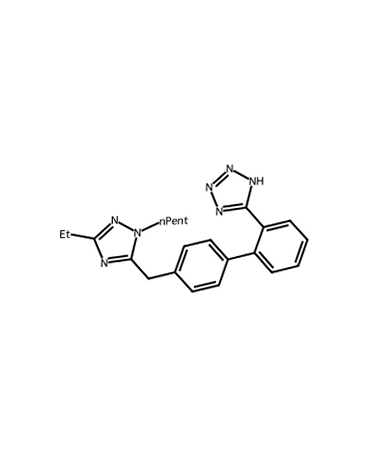 CCCCCn1nc(CC)nc1Cc1ccc(-c2ccccc2-c2nnn[nH]2)cc1